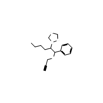 C#CCOC(c1ccccc1)C(CCCC)N1CNCN1